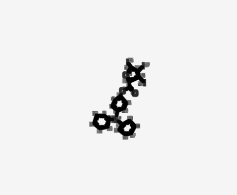 O=C(Oc1ccc([SH](c2ccccc2)c2ccccc2)cc1)c1oc(I)c(I)c1I